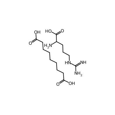 N=C(N)NCCCC(N)C(=O)O.O=C(O)CCCCCCCC(=O)O